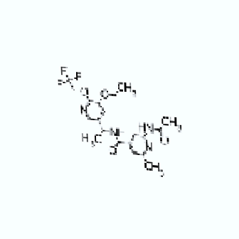 CCOc1cc(C(C)NC(=O)c2cc(C)nc(NC(C)=O)c2)cnc1OCC(F)(F)F